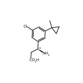 CC1(c2cc(Cl)cc([C@@H](N)CC(=O)O)c2)CC1